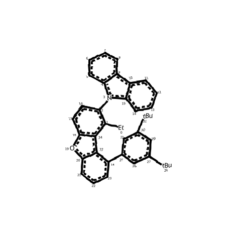 CCc1c(-n2c3ccccc3c3ccccc32)ccc2oc3cccc(-c4cc(C(C)(C)C)cc(C(C)(C)C)c4)c3c12